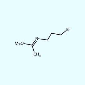 COC(C)=NCCCBr